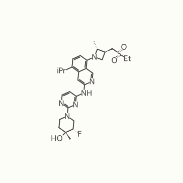 CCS(=O)(=O)C[C@H]1CN(c2ccc(C(C)C)c3cc(Nc4ccnc(N5CC[C@@](C)(O)[C@@H](F)C5)n4)ncc23)[C@@H]1C